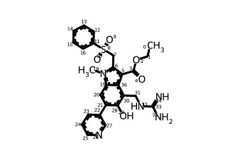 CCOC(=O)c1c(CS(=O)(=O)c2ccccc2)n(C)c2cc(-c3cccnc3)c(O)c(CNC(=N)N)c12